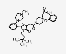 CN1CCN(c2ccccc2C2SC(CC(=O)N3CCC4(CC3)CC(=O)Nc3ccccc3O4)C(=O)N2CCC(C)(C)C)CC1